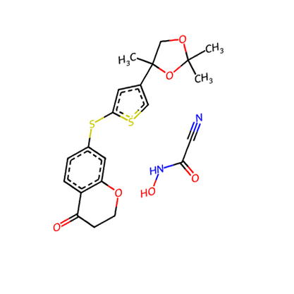 CC1(C)OCC(C)(c2csc(Sc3ccc4c(c3)OCCC4=O)c2)O1.N#CC(=O)NO